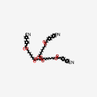 N#Cc1ccc(-c2ccc(C=CC(=O)OCCCCCCCCCC(=O)OCC(COC(=O)CCCCCCCCCOC(=O)C=Cc3ccc(-c4ccc(C#N)cc4)cc3)OC(=O)CCCCCCCCCOC(=O)C=Cc3ccc(-c4ccc(C#N)cc4)cc3)cc2)cc1